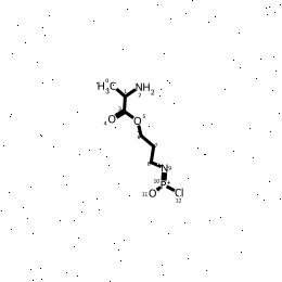 CC(N)C(=O)OCCC/N=[P+](\[O-])Cl